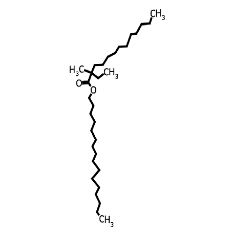 CCCCCCCCCCCCCCCCOC(=O)C(C)(CC)CCCCCCCCCCC